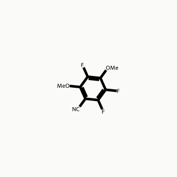 COc1c(F)c(F)c(C#N)c(OC)c1F